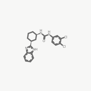 O=C(Nc1ccc(Cl)c(Cl)c1)N[C@@H]1CCC[C@H](c2nc3ccccc3[nH]2)C1